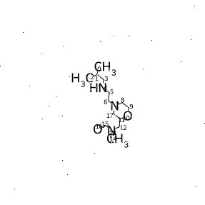 CC(C)CNCCN1CCOC(CN(C)C=O)C1